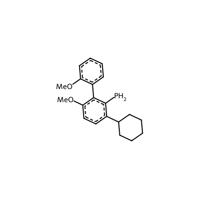 COc1ccccc1-c1c(OC)ccc(C2CCCCC2)c1P